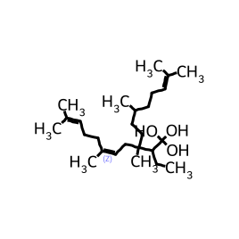 CCC(C(O)(O)O)C(C)(C/C=C(/C)CCC=C(C)C)CCC(C)CCC=C(C)C